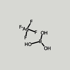 OB(O)O.[F][Ag]([F])([F])[F]